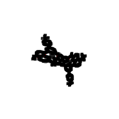 CC(C)c1ccccc1N(c1c(F)cc(-c2ccc(C(C)(C)C)cc2)cc1-c1ccc(C(C)(C)C)cc1)c1ccc2ccc3c(N(c4ccccc4C(C)(C)C)c4c(F)cc(-c5ccc(C(C)(C)C)cc5)cc4-c4ccc(C(C)(C)C)cc4)ccc4ccc1c2c43